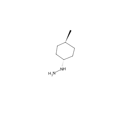 C[C@H]1CC[C@H](NN)CC1